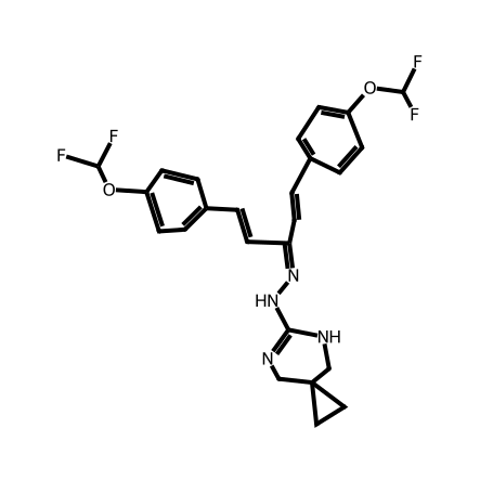 FC(F)Oc1ccc(C=CC(C=Cc2ccc(OC(F)F)cc2)=NNC2=NCC3(CC3)CN2)cc1